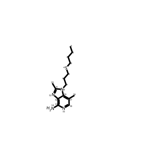 CCCCSCCCn1c(C)nc2c(N)ncc(C)c21